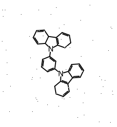 C1=CC2C3=C(CCC=C3)N(c3cccc(-n4c5c(c6ccccc64)C=CCC5)c3)C2C=C1